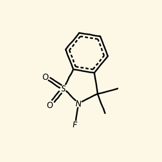 CC1(C)c2ccccc2S(=O)(=O)N1F